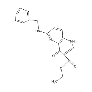 CCOC(=O)c1c[nH]c2ccc(NCc3ccccc3)nc2c1=O